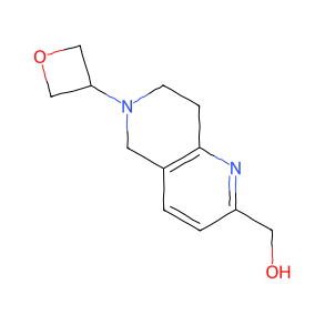 OCc1ccc2c(n1)CCN(C1COC1)C2